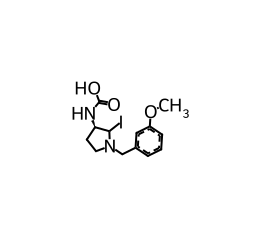 COc1cccc(CN2CC[C@@H](NC(=O)O)C2I)c1